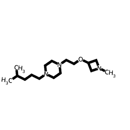 CC(C)CCCN1CCN(CCOC2CN(C)C2)CC1